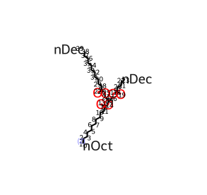 CCCCCCCC/C=C\CCCCCCCCCC(=O)O[C@H](COC(=O)CCCCCCCCCCCCC)COC(=O)CCCCCCCCCCCCCCCCCCCCC